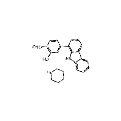 C1CCNCC1.O=Cc1ccc(-c2cccc3c2[nH]c2ccccc23)cc1O